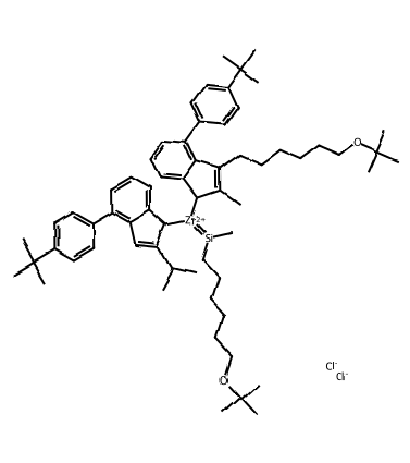 CC1=C(CCCCCCOC(C)(C)C)c2c(-c3ccc(C(C)(C)C)cc3)cccc2[CH]1[Zr+2]([CH]1C(C(C)C)=Cc2c(-c3ccc(C(C)(C)C)cc3)cccc21)=[Si](C)CCCCCCOC(C)(C)C.[Cl-].[Cl-]